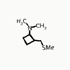 CSCC1CCC1N(C)C